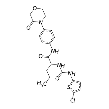 CCCC(NC(=O)Nc1ccc(Cl)s1)C(=O)Nc1ccc(N2CCOCC2=O)cc1